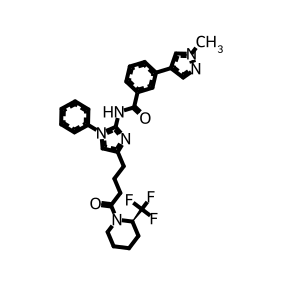 Cn1cc(-c2cccc(C(=O)Nc3nc(CCCC(=O)N4CCCC[C@@H]4C(F)(F)F)cn3-c3ccccc3)c2)cn1